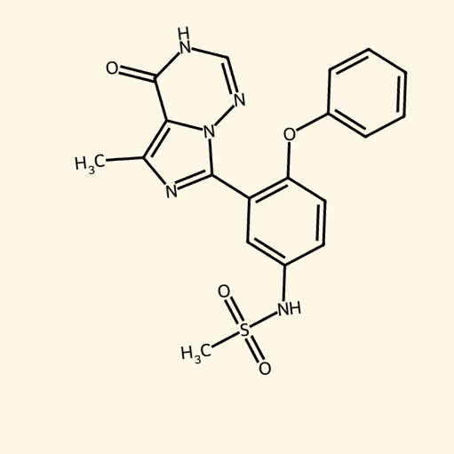 Cc1nc(-c2cc(NS(C)(=O)=O)ccc2Oc2ccccc2)n2nc[nH]c(=O)c12